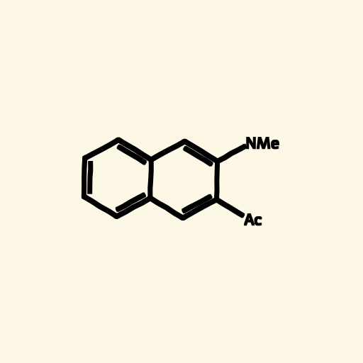 CNc1cc2ccccc2cc1C(C)=O